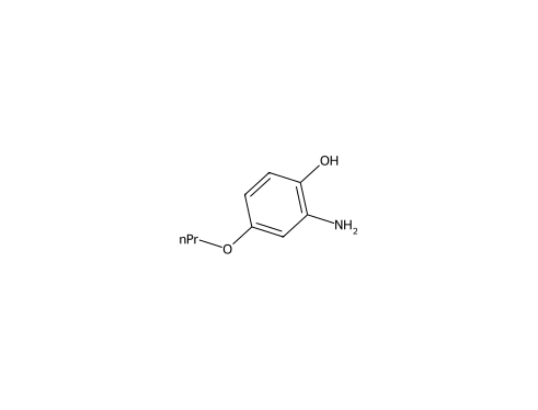 CCCOc1ccc(O)c(N)c1